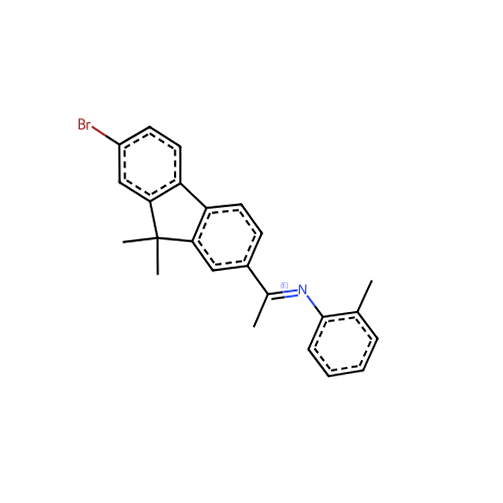 C/C(=N\c1ccccc1C)c1ccc2c(c1)C(C)(C)c1cc(Br)ccc1-2